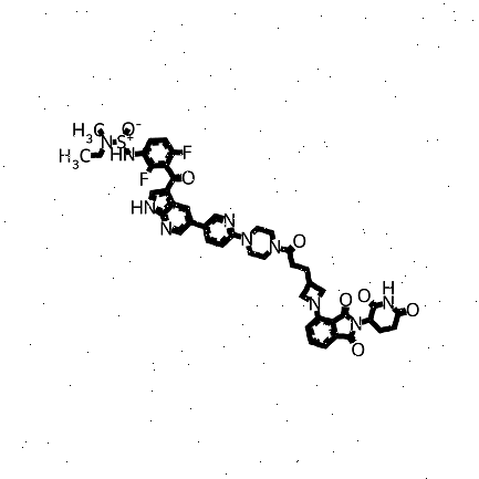 CCN(C)[S+]([O-])Nc1ccc(F)c(C(=O)c2c[nH]c3ncc(-c4ccc(N5CCN(C(=O)CCC6CN(c7cccc8c7C(=O)N(C7CCC(=O)NC7=O)C8=O)C6)CC5)nc4)cc23)c1F